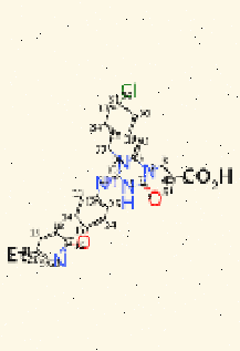 C=C1N(C[C@H](C)C(=O)O)C(=O)N/C(=N\c2ccc(Oc3ccc(CC)cn3)cc2)N1Cc1ccc(Cl)cc1